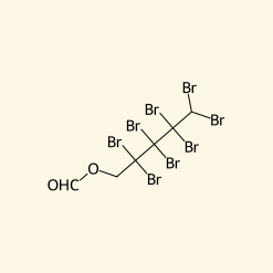 O=COCC(Br)(Br)C(Br)(Br)C(Br)(Br)C(Br)Br